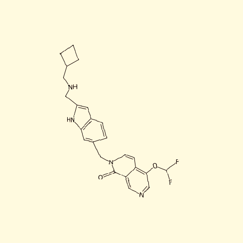 O=c1c2cncc(OC(F)F)c2ccn1Cc1ccc2cc(CNCC3CCC3)[nH]c2c1